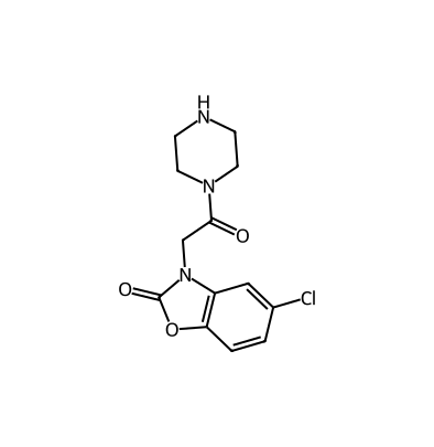 O=C(Cn1c(=O)oc2ccc(Cl)cc21)N1CCNCC1